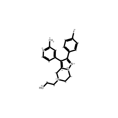 Cc1cc(-c2c(-c3ccc(F)cc3)nn3c2CN(CCO)CC3)ccn1